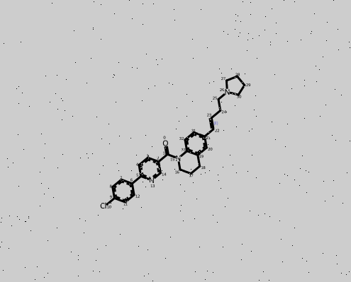 O=C(c1ccc(-c2ccc(Cl)cc2)nc1)N1CCCc2cc(/C=C/CCN3CCCC3)ccc21